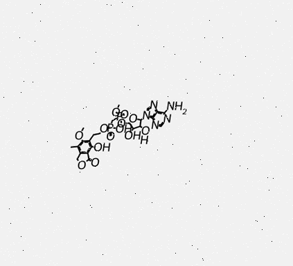 COc1c(C)c2c(c(O)c1CCOP(=O)(O)CP(=O)(OC)OC1OC(n3cnc4c(N)ncnc43)C(O)C1O)C(=O)OC2